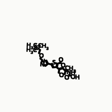 CC1(NC(=O)O)COCc2c1oc(=O)c1sc(-c3cnn(COCC[Si](C)(C)C)c3)cc21